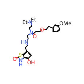 CCN(CC)CCN(CCNCCc1ccc(O)c2[nH]c(=O)sc12)C(=O)CCOCCc1cccc(OC)c1